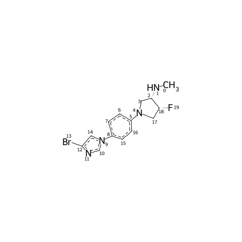 CN[C@H]1CN(c2ccc(-n3cnc(Br)c3)cc2)C[C@H]1F